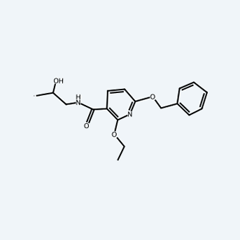 [CH2]C(O)CNC(=O)c1ccc(OCc2ccccc2)nc1OCC